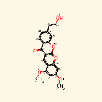 COc1cc(OC)c2cc(C(=O)c3ccc(CCO)cc3)c(=O)oc2c1